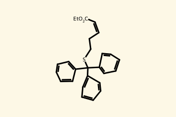 CCOC(=O)/C=C\CCSC(c1ccccc1)(c1ccccc1)c1ccccc1